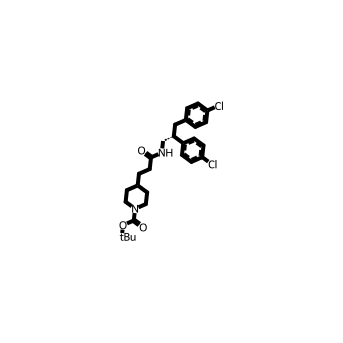 CC(C)(C)OC(=O)N1CCC(CCC(=O)NC[C@H](Cc2ccc(Cl)cc2)c2ccc(Cl)cc2)CC1